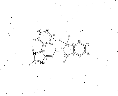 CC1=NC(=CC=C2N(C)c3ccccc3C2(C)C)C(c2ccccn2)=N1